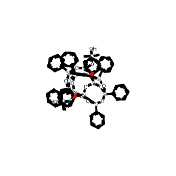 C[Si](C)(O)O[Si]1(C)O[Si]2(c3ccccc3)O[Si]3(c4ccccc4)O[Si]4(c5ccccc5)O[Si](C)(O[Si](C)(C)O)O[Si]5(c6ccccc6)O[Si](c6ccccc6)(O[Si](c6ccccc6)(O1)O[Si](c1ccccc1)(O5)O[Si](c1ccccc1)(O2)O4)O3